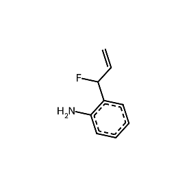 C=CC(F)c1ccccc1N